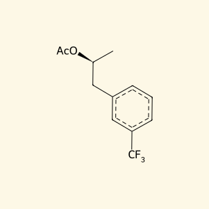 CC(=O)O[C@@H](C)Cc1cccc(C(F)(F)F)c1